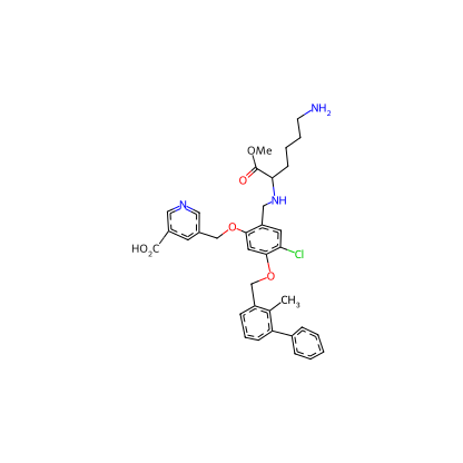 COC(=O)C(CCCCN)NCc1cc(Cl)c(OCc2cccc(-c3ccccc3)c2C)cc1OCc1cncc(C(=O)O)c1